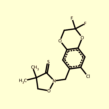 CC1(C)CON(Cc2cc3c(cc2Cl)OC(F)(F)CO3)C1=S